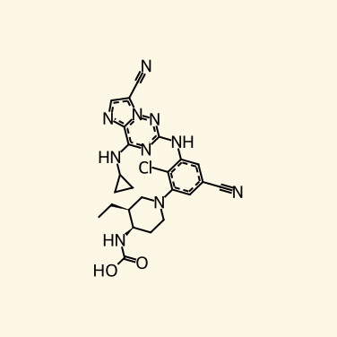 CC[C@H]1CN(c2cc(C#N)cc(Nc3nc(NC4CC4)c4ncc(C#N)n4n3)c2Cl)CC[C@H]1NC(=O)O